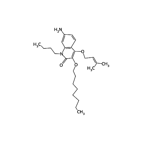 CCCCCCCCOc1c(OCC=C(C)C)c2ccc(N)cc2n(CCCC)c1=O